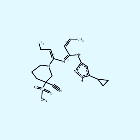 C\C=C/C(=N\C(=C\CC)N1CCCC(C#N)(S(C)(=O)=O)C1)Nc1cc(C2CC2)[nH]n1